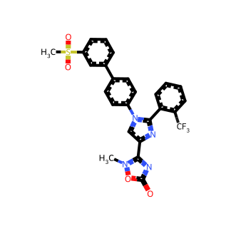 Cn1oc(=O)nc1-c1cn(-c2ccc(-c3cccc(S(C)(=O)=O)c3)cc2)c(-c2ccccc2C(F)(F)F)n1